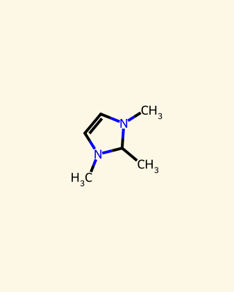 CC1N(C)C=CN1C